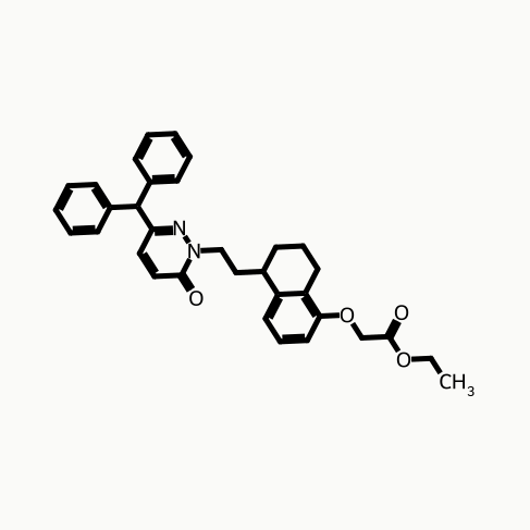 CCOC(=O)COc1cccc2c1CCCC2CCn1nc(C(c2ccccc2)c2ccccc2)ccc1=O